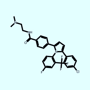 CN(C)CCNC(=O)c1ccc(-c2ccc(-c3ccc(Cl)cc3)n2-c2ccc(F)cc2C(F)(F)F)cc1